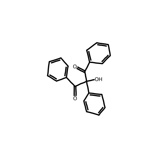 O=C(c1ccccc1)C(O)(C(=O)c1ccccc1)c1ccccc1